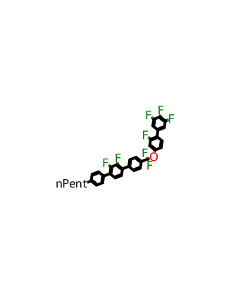 CCCCCc1ccc(-c2ccc(-c3ccc(C(F)(F)Oc4ccc(-c5cc(F)c(F)c(F)c5)c(F)c4)cc3)c(F)c2F)cc1